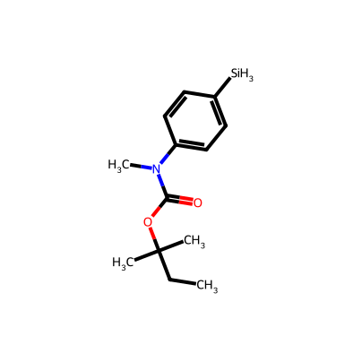 CCC(C)(C)OC(=O)N(C)c1ccc([SiH3])cc1